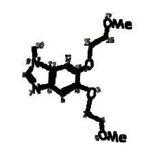 COCCOc1cc2ncn(C)c2cc1OCCOC